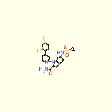 NC(=O)c1cc2ccc(NS(=O)(=O)C3CC3)cc2n1-c1cc(-c2ccc(F)cc2F)ccn1